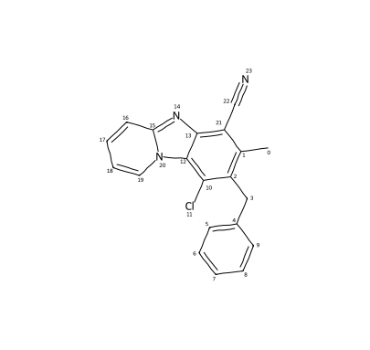 Cc1c(Cc2ccccc2)c(Cl)c2c(nc3ccccn32)c1C#N